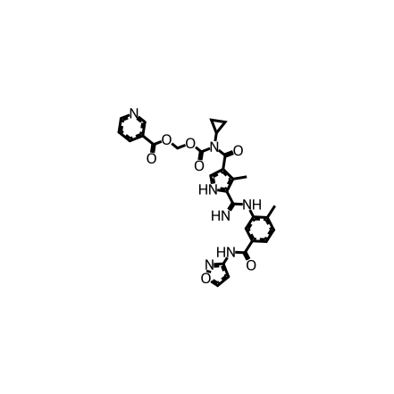 Cc1ccc(C(=O)Nc2ccon2)cc1NC(=N)c1[nH]cc(C(=O)N(C(=O)OCOC(=O)c2cccnc2)C2CC2)c1C